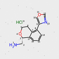 Cl.NC[C@@H]1OCCc2c(-c3cocn3)cccc21